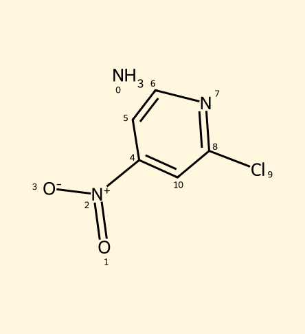 N.O=[N+]([O-])c1ccnc(Cl)c1